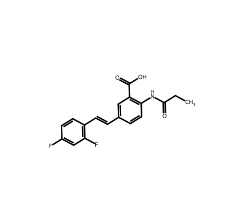 CCC(=O)Nc1ccc(/C=C/c2ccc(F)cc2F)cc1C(=O)O